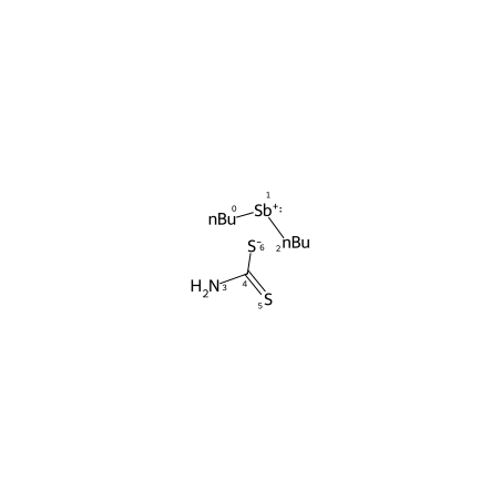 CCC[CH2][Sb+][CH2]CCC.NC(=S)[S-]